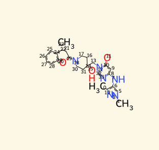 Cc1nn(C)cc1Nc1cc(=O)n(CC2(O)CCN(C(=O)C[C@@H](C)c3ccccc3)CC2)cn1